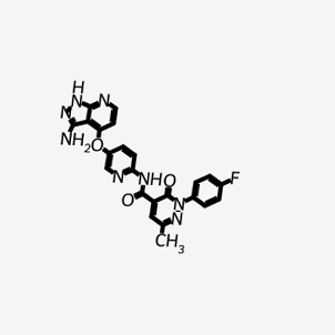 Cc1cc(C(=O)Nc2ccc(Oc3ccnc4[nH]nc(N)c34)cn2)c(=O)n(-c2ccc(F)cc2)n1